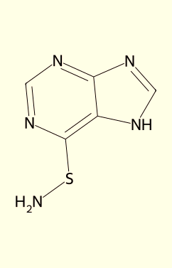 NSc1ncnc2nc[nH]c12